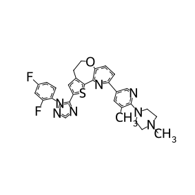 Cc1cc(-c2ccc3c(n2)-c2sc(-c4ncnn4-c4ccc(F)cc4F)cc2CCO3)cnc1N1CCN(C)CC1